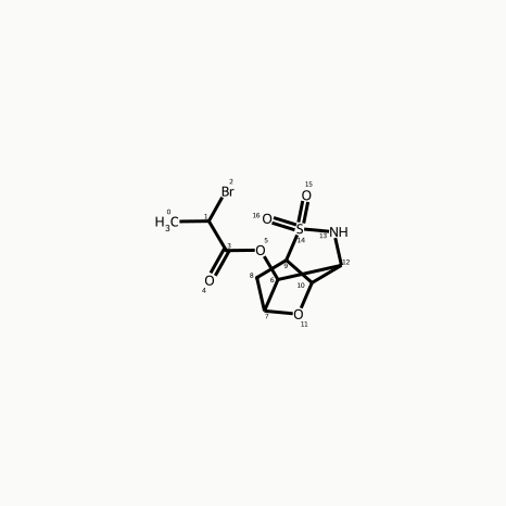 CC(Br)C(=O)OC1C2CC3C(O2)C1NS3(=O)=O